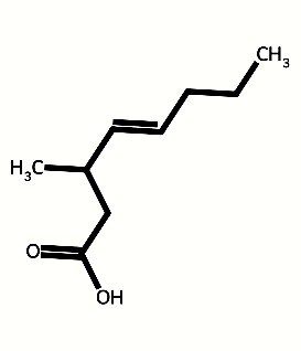 CCCC=CC(C)CC(=O)O